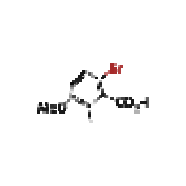 COc1ccc(Br)c(C(=O)O)c1C